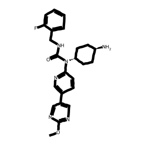 COc1ncc(-c2ccc(N(C(=O)NCc3ccccc3F)[C@H]3CC[C@H](N)CC3)nc2)cn1